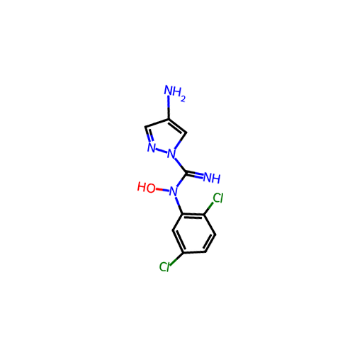 N=C(N(O)c1cc(Cl)ccc1Cl)n1cc(N)cn1